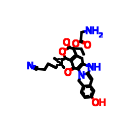 CCC1(OC(=O)CN)C(=O)OC([Si](C)(C)CCCC#N)C2=C1CC1=C(C2=O)N2Cc3ccc(O)cc3C=C2N1